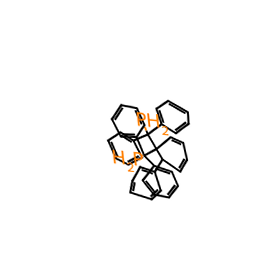 PC(c1ccccc1)(c1ccccc1)C1(C(P)(c2ccccc2)c2ccccc2)C=CC=CC1c1ccccc1